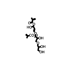 C=C(C)C(=O)O.C=C(C)C(=O)OC(O)C=COCC(O)COCC(O)CO